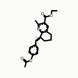 CCOC(=O)c1cc2c(nc1C)/C(=C/c1ccc(OC(C)=O)cc1)CCC2